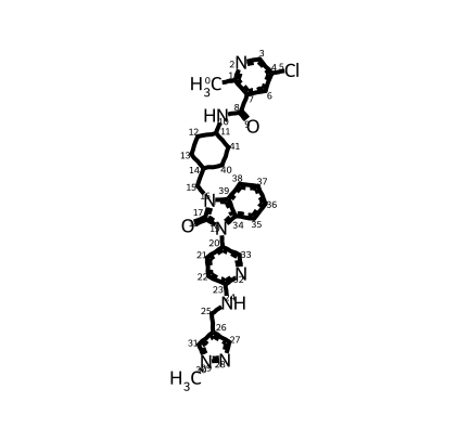 Cc1ncc(Cl)cc1C(=O)NC1CCC(Cn2c(=O)n(-c3ccc(NCc4cnn(C)c4)nc3)c3ccccc32)CC1